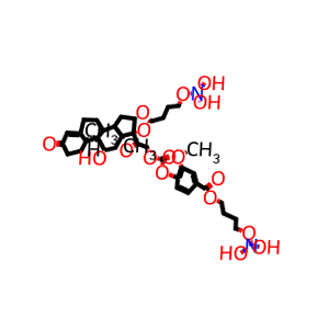 COc1cc(C(=O)OCCCCON(O)O)ccc1OC(=O)OCC(=O)[C@@]1(OC(=O)CCCON(O)O)CCC2C3CCC4=CC(=O)CC[C@]4(C)[C@H]3C(O)C[C@@]21C